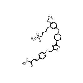 COc1ccc(CN2CCC(c3noc(COc4ccc(C=CC(=O)NO)cc4)n3)CC2)cc1OCCCS(C)(=O)=O